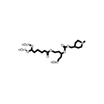 CCCCCCCCCCCCC(CCOC(=O)CCCCC(OCCCCCCCC)OCCCCCCCC)OC(=O)OCC1CCN(C)CC1